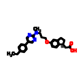 CCc1ccc(-c2cnc(N(C)CCCOc3ccc4c(c3)CC[C@H]4CC(=O)O)nc2)cc1